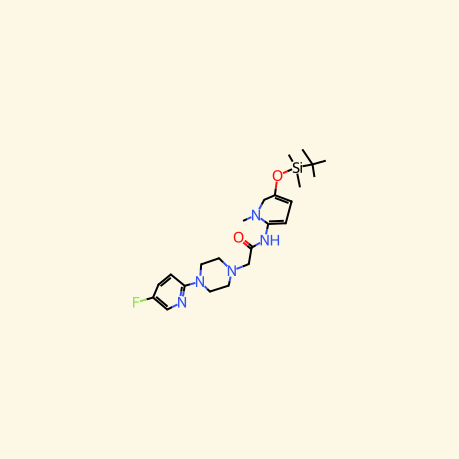 CN1CC(O[Si](C)(C)C(C)(C)C)=CC=C1NC(=O)CN1CCN(c2ccc(F)cn2)CC1